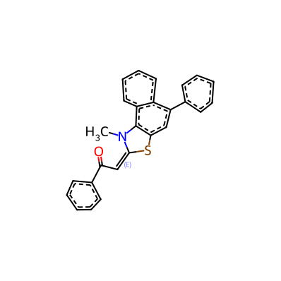 CN1/C(=C\C(=O)c2ccccc2)Sc2cc(-c3ccccc3)c3ccccc3c21